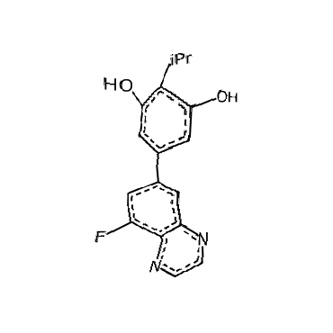 CC(C)c1c(O)cc(-c2cc(F)c3nccnc3c2)cc1O